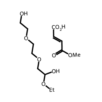 CCOC(O)COCCOCCO.COC(=O)C=CC(=O)O